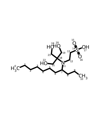 CCCCCCCC(CCC)N(CCS(=O)(=O)O)C(CO)(CO)CO